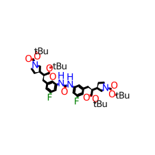 CC(C)(C)OC(=O)[C@@H](Cc1cc(F)cc(NC(=O)Nc2cc(F)cc(C[C@H](C(=O)OC(C)(C)C)[C@H]3CCN(C(=O)OC(C)(C)C)C3)c2)c1)[C@H]1CCN(C(=O)OC(C)(C)C)C1